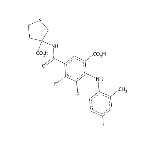 Cc1cc(I)ccc1Nc1c(C(=O)O)cc(C(=O)NC2(C(=O)O)CCSC2)c(F)c1F